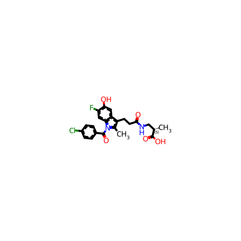 Cc1c(CCC(=O)NC[C@H](C)C(=O)O)c2cc(O)c(F)cc2n1C(=O)c1ccc(Cl)cc1